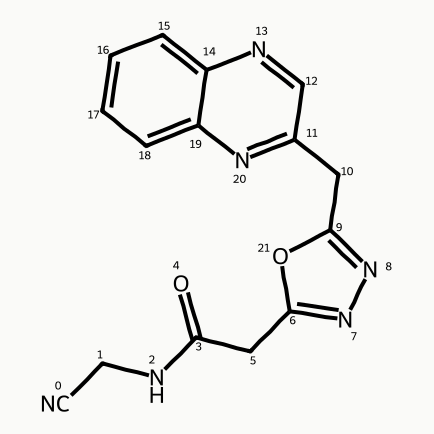 N#CCNC(=O)Cc1nnc(Cc2cnc3ccccc3n2)o1